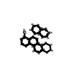 Clc1cccc2c1ccc1c3c(ccc12)CCCC3.c1ccc2cnccc2c1